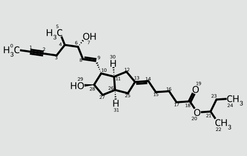 CC#CCC(C)[C@H](O)/C=C/[C@@H]1[C@H]2C/C(=C/CCCC(=O)OC(C)CC)C[C@H]2C[C@H]1O